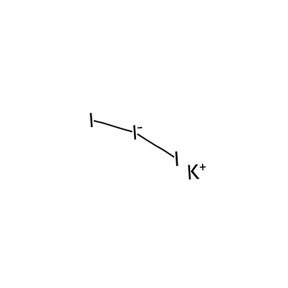 I[I-]I.[K+]